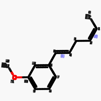 CC/C=C\C/C=C/c1cccc(OC(C)CC)c1